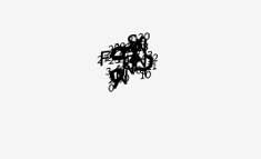 Cc1cccc(NCC2[C@H](C)CCCN2C(=O)c2nc(C)sc2-c2ccc(F)cc2)n1